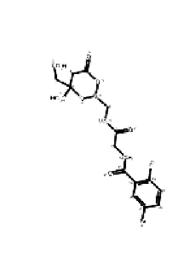 O=C(O)CC1(C(=O)O)CC(=O)OB(CNC(=O)CNC(=O)c2cc(Br)ccc2F)O1